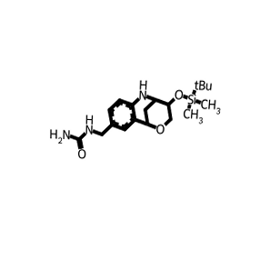 CC(C)(C)[Si](C)(C)OC1COC2CC1Nc1ccc(CNC(N)=O)cc12